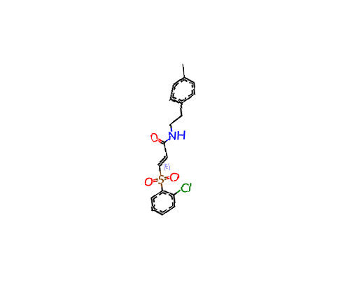 Cc1ccc(CCNC(=O)/C=C/S(=O)(=O)c2ccccc2Cl)cc1